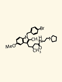 COc1ccc2c(c1)c(CC(C)CC(=O)NCCN1CCCC1)c(C)n2Cc1ccc(Br)cc1